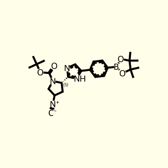 [C-]#[N+]C1C[C@@H](c2ncc(-c3ccc(B4OC(C)(C)C(C)(C)O4)cc3)[nH]2)N(C(=O)OC(C)(C)C)C1